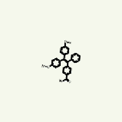 COc1ccc(C(=C(c2ccccc2)c2ccc(C(=O)C(C)C)cc2)c2ccc(OC)cc2)cc1